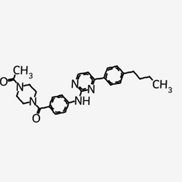 CCCCc1ccc(-c2ccnc(Nc3ccc(C(=O)N4CCN(C(C)=O)CC4)cc3)n2)cc1